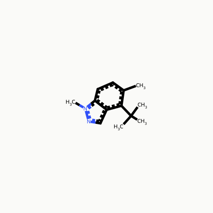 Cc1ccc2c(cnn2C)c1C(C)(C)C